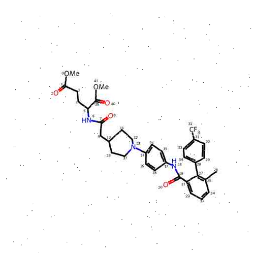 COC(=O)CCC(NC(=O)CC1CCN(c2ccc(NC(=O)c3cccc(C)c3-c3ccc(C(F)(F)F)cc3)cc2)CC1)C(=O)OC